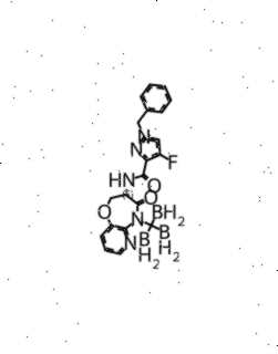 BC(B)(B)N1C(=O)[C@@H](NC(=O)c2nn(Cc3ccccc3)cc2F)COc2cccnc21